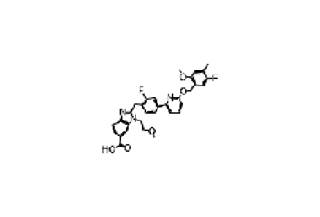 COCCn1c(Cc2ccc(-c3cccc(OCc4cc(F)c(C)cc4OC)n3)cc2F)nc2ccc(C(=O)O)cc21